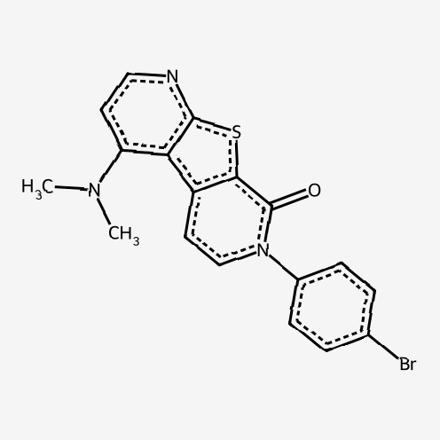 CN(C)c1ccnc2sc3c(=O)n(-c4ccc(Br)cc4)ccc3c12